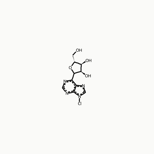 OC[C@H]1OC(c2ncnc3c2ncn3Cl)[C@H](O)[C@@H]1O